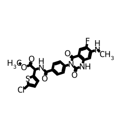 CNc1cc2[nH]c(=O)n(-c3ccc(C(=O)NC(C(=O)OC)c4ccc(Cl)s4)cc3)c(=O)c2cc1F